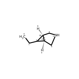 CCC1[C@H]2CNC[C@@H]12